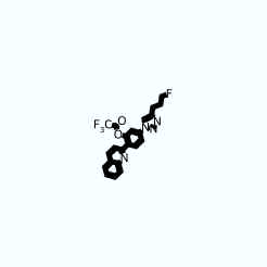 O=C(Oc1cc(-n2cc(CCCF)nn2)ccc1-c1ccc2ccccc2n1)C(F)(F)F